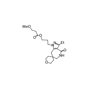 CCc1nn(CCCOC(=O)CCOC)c2c1C(=O)NCC1(CCOCC1)C2